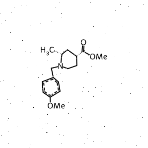 COC(=O)[C@@H]1CCN(Cc2ccc(OC)cc2)[C@H](C)C1